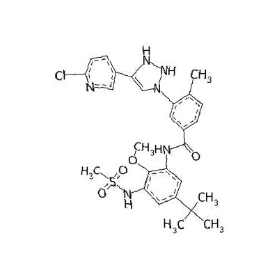 COc1c(NC(=O)c2ccc(C)c(N3C=C(c4ccc(Cl)nc4)NN3)c2)cc(C(C)(C)C)cc1NS(C)(=O)=O